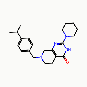 CC(C)c1ccc(CN2CCc3c(nc(N4CCCCC4)[nH]c3=O)C2)cc1